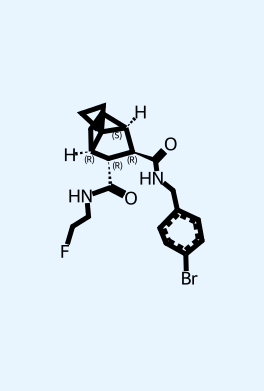 O=C(NCCF)[C@H]1[C@H](C(=O)NCc2ccc(Br)cc2)[C@@H]2C=C[C@H]1C21CC1